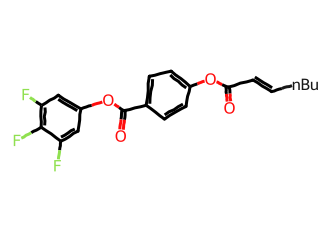 CCCC/C=C/C(=O)Oc1ccc(C(=O)Oc2cc(F)c(F)c(F)c2)cc1